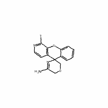 NC1=NC2(COC1)c1ccccc1Oc1c2ccnc1F